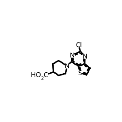 O=C(O)C1CCN(c2nc(Cl)nc3ccsc23)CC1